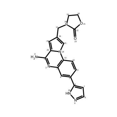 Nc1nc2cc(-c3ccn[nH]3)ccc2n2cc(CN3CCOC3=O)cc12